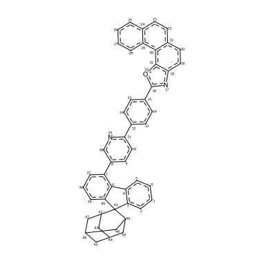 c1ccc2c(c1)-c1c(-c3ccc(-c4ccc(-c5nc6ccc7ccc8ccccc8c7c6o5)cc4)nc3)cccc1C21C2CC3CC(C2)CC1C3